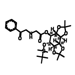 CC1(C)O[C@H]2[C@@H]3OC(C)(C)O[C@H]3[C@H](OC(=O)CNCC(=O)c3ccccc3)[C@@H](O[Si](C)(C)C(C)(C)C)[C@@H]2O1